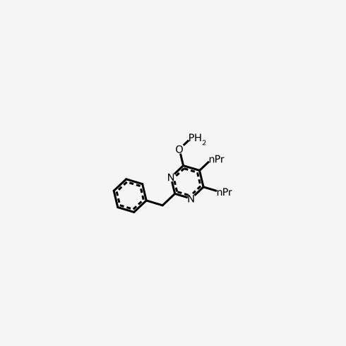 CCCc1nc(Cc2ccccc2)nc(OP)c1CCC